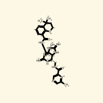 Cc1cncc(C(=O)NC[C@@H]2NC(=N)N3CC(NC(=O)c4cccc5c4OCCC5(C)C)[C@@H](O)C34NC(=N)NC24)n1